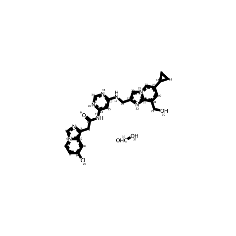 O=C(Cc1ncn2ccc(Cl)cc12)Nc1cc(NCc2cn3cc(C4CC4)cc(CO)c3n2)ncn1.O=CO